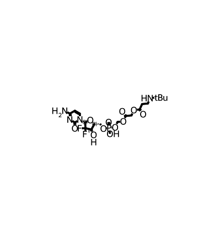 CC(C)(C)NCCC(=O)OCC(=O)OCOP(=O)(O)OC[C@H]1O[C@@H](n2ccc(N)nc2=O)C(F)(F)[C@@H]1O